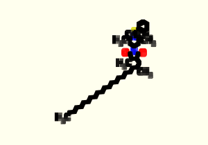 CCCCCCCCCCCCCCCCCCCCC(C)CC1C(=O)N(C2CC(C)(C)N(Sc3ccccc3)C(C)(C)C2)C(=O)C1C